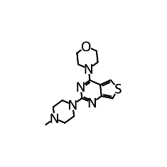 CN1CCN(c2nc(N3CCOCC3)c3cscc3n2)CC1